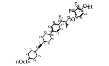 CCCCCCCCC1CCC(C#CC2CCC(c3ccc(C(F)C(F)COc4ccc(OCC)c(F)c4F)cc3)CC2)CC1